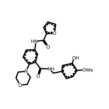 COc1ccc(CNC(=O)c2cc(NC(=O)c3ccco3)ccc2N2CCOCC2)cc1O